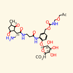 CC(=O)COCNC(=O)OCc1ccc(O[C@@H]2O[C@H](C(=O)O)[C@@H](O)[C@H](O)[C@H]2O)c(NC(=O)CCNC(=O)[C@H](CN)C2C(=O)CC(C)C2=O)c1